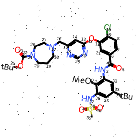 COc1c(NC(=O)c2ccc(Cl)c(Oc3cc(CN4CCCN(C(=O)OC(C)(C)C)CC4)ncn3)c2)cc(C(C)(C)C)cc1NS(C)(=O)=O